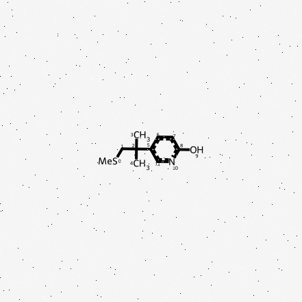 CSCC(C)(C)c1ccc(O)nc1